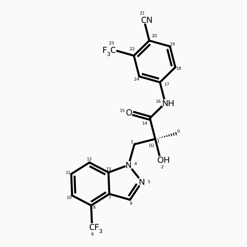 C[C@](O)(Cn1ncc2c(C(F)(F)F)cccc21)C(=O)Nc1ccc(C#N)c(C(F)(F)F)c1